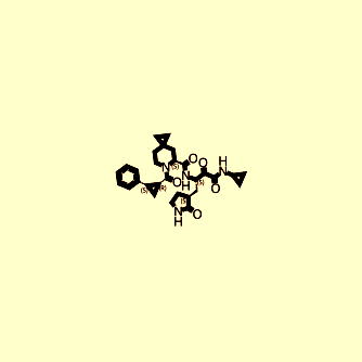 O=C(NC1CC1)C(=O)[C@H](C[C@@H]1CCNC1=O)NC(=O)[C@@H]1CC2(CCN1C(=O)[C@@H]1C[C@@H]1c1ccccc1)CC2